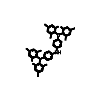 Cc1cc(C)c(B(c2ccc(Nc3ccc(C(c4c(C)cc(C)cc4C)c4c(C)cc(C)cc4C)cc3)cc2)c2c(C)cc(C)cc2C)c(C)c1